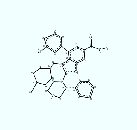 COC(=O)c1cc2nc(N3CCOC[C@H]3c3ccccc3)n(CC3CCC(C)CC3)c2c(-c2cncc(Cl)c2)n1